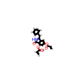 C=CC(=O)Oc1cc(OC(=O)C=C)c2c(c1)C(Cc1ccccc1)NC2=O